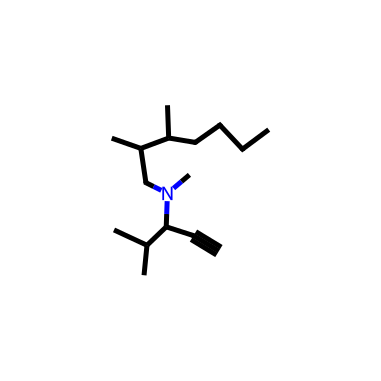 C#CC(C(C)C)N(C)CC(C)C(C)CCCC